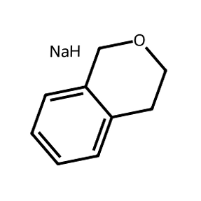 [NaH].c1ccc2c(c1)CCOC2